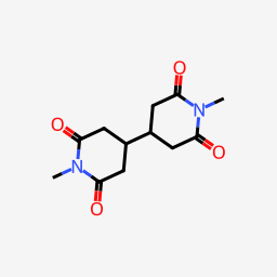 CN1C(=O)CC(C2CC(=O)N(C)C(=O)C2)CC1=O